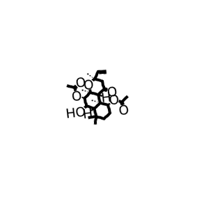 C=C[C@@]1(C)CC(=O)[C@H]2[C@](C)(O1)[C@@H](OC(C)=O)C(O)[C@H]1C(C)(C)CC[C@H](OC(C)=O)[C@@]12C